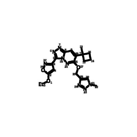 CCOc1cc(-c2nnc3cc(C4(C)CCC4)c(OCc4cn(C)nn4)nn23)no1